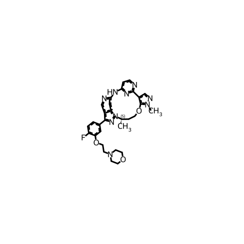 C[C@H]1CCOc2c(cnn2C)-c2nccc(n2)Nc2cc3c(cn2)c(-c2ccc(F)c(OCCN4CCOCC4)c2)nn31